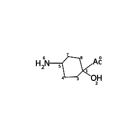 CC(=O)C1(O)CCC(N)CC1